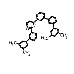 Cc1cc(C)cc(-c2cccc(-c3cccc(-c4ccnc(-c5cccc(-c6cc(C)cc(C)c6)c5)n4)c3)c2)c1